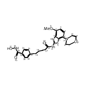 COc1ccc(N2CCOCC2)c2sc(NC(=O)CCCc3ccc(C(=O)NO)cc3)nc12